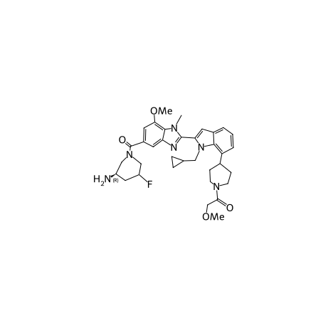 COCC(=O)N1CCC(c2cccc3cc(-c4nc5cc(C(=O)N6CC(F)C[C@@H](N)C6)cc(OC)c5n4C)n(CC4CC4)c23)CC1